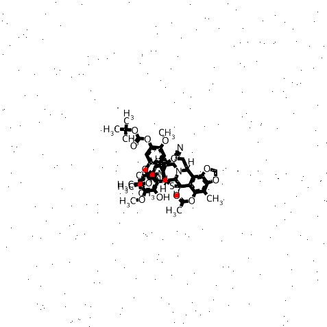 COc1cc2c(cc1OC(=O)OC(C)(C)C)CCN[C@]21CS[C@@H]2c3c(OC(C)=O)c(C)c4c(c3[C@H](COC1=O)N1C2[C@@H]2c3c(cc(C)c(OC)c3O)C[C@H]([C@@H]1C#N)N2C(=O)OC(C)(C)C)OCO4